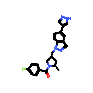 C[C@@H]1C[C@@H](Cn2ncc3cc(-c4cn[nH]c4)ccc32)CN1C(=O)c1ccc(F)cc1